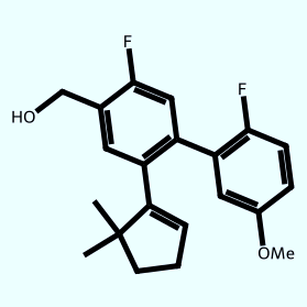 COc1ccc(F)c(-c2cc(F)c(CO)cc2C2=CCCC2(C)C)c1